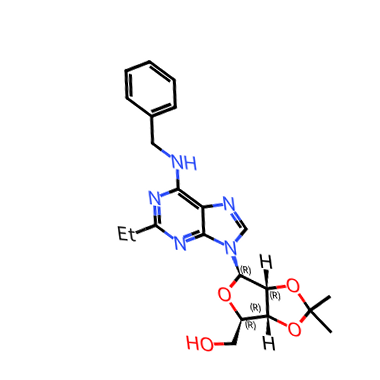 CCc1nc(NCc2ccccc2)c2ncn([C@@H]3O[C@H](CO)[C@H]4OC(C)(C)O[C@H]43)c2n1